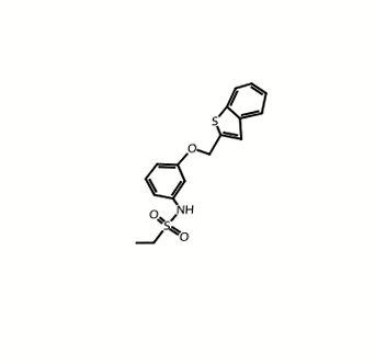 CCS(=O)(=O)Nc1cccc(OCc2cc3ccccc3s2)c1